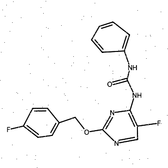 O=C(Nc1ccccc1)Nc1nc(OCc2ccc(F)cc2)ncc1F